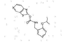 CC(C)Oc1ccccc1CNC(=O)Oc1nc2ccncc2s1